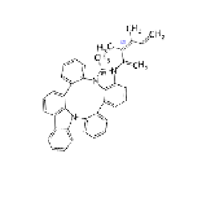 C=C/C(C)=C(/C)C(=C)N1c2cccc3c2N(c2ccccc2-c2cccc4c5ccccc5n(c24)-c2ccccc2-3)[C@@H]1C